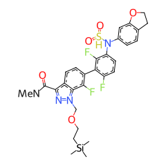 CNC(=O)c1nn(COCC[Si](C)(C)C)c2c(F)c(-c3c(F)ccc(N(c4ccc5c(c4)OCC5)[SH](=O)=O)c3F)ccc12